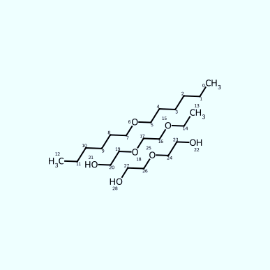 CCCCCCOCCCCCC.CCOCCOCCO.OCCOCCO